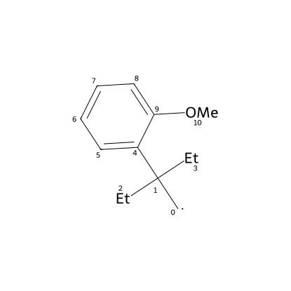 [CH2]C(CC)(CC)c1ccccc1OC